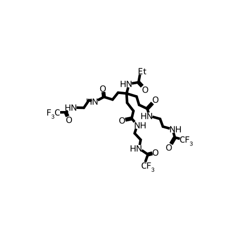 CCC(=O)NC(CCC(=O)NCCNC(=O)C(F)(F)F)(CCC(=O)NCCNC(=O)C(F)(F)F)CCC(=O)NCCNC(=O)C(F)(F)F